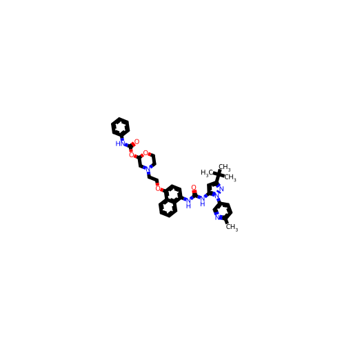 Cc1ccc(-n2nc(C(C)(C)C)cc2NC(=O)Nc2ccc(OCCN3CCOC(OC(=O)Nc4ccccc4)C3)c3ccccc23)cn1